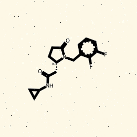 O=C(C[C@@H]1CCC(=O)N1Cc1cccc(F)c1F)NC1CC1